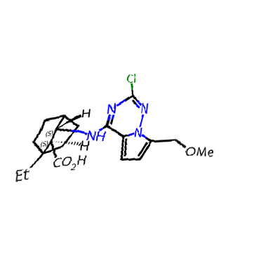 CCC12CCC(CC1)[C@H](Nc1nc(Cl)nn3c(COC)ccc13)[C@H]2C(=O)O